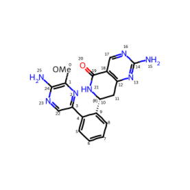 COc1nc(-c2ccccc2[C@H]2Cc3nc(N)ncc3C(=O)N2)cnc1N